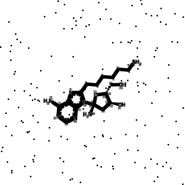 NCCCCCCc1nc2c(N)ncnc2n1[C@@]1(N)C[C@H](O)[C@@H](CO)O1